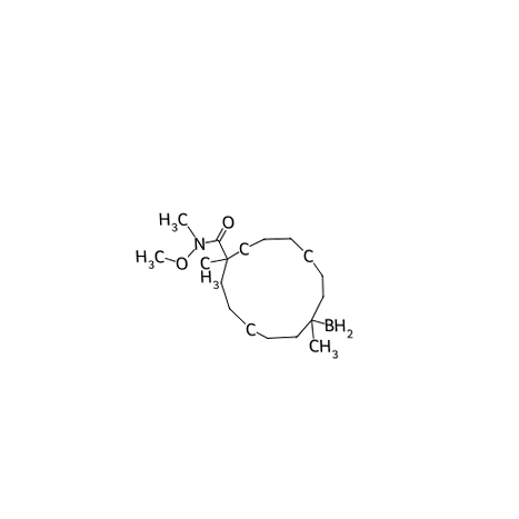 BC1(C)CCCCCCC(C)(C(=O)N(C)OC)CCCCC1